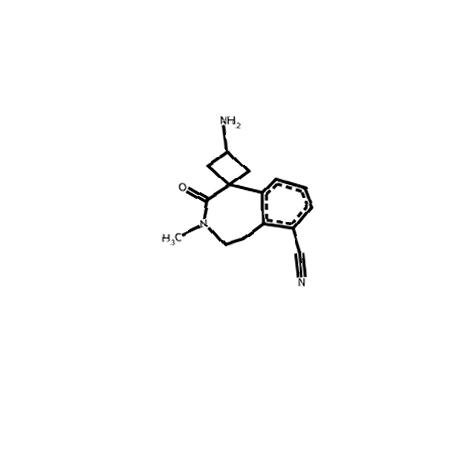 CN1CCc2c(C#N)cccc2C2(CC(N)C2)C1=O